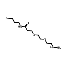 CC(C)(C)CCCNC(=O)CCOCCOCCNC(C)(C)C